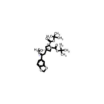 C/N=C(\C[C@@]1(O)C[C@@H](C(=O)OC(C)(C)C)N(C(=O)OC(C)(C)C)C1)c1ccc2c(c1)OCO2